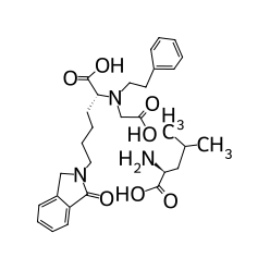 CC(C)C[C@H](N)C(=O)O.O=C(O)CN(CCc1ccccc1)[C@H](CCCCN1Cc2ccccc2C1=O)C(=O)O